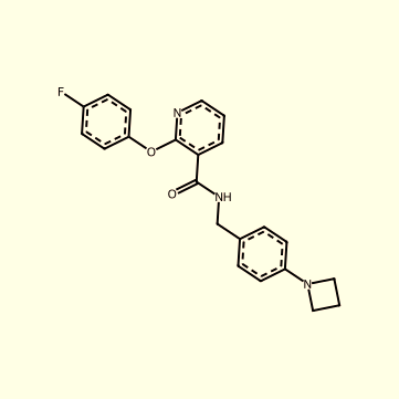 O=C(NCc1ccc(N2CCC2)cc1)c1cccnc1Oc1ccc(F)cc1